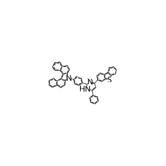 C1=C(c2ccccc2)NC(c2ccc(-n3c4ccc5ccccc5c4c4c5ccccc5ccc43)cc2)N=C1c1ccc2c(c1)sc1ccccc12